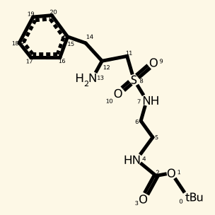 CC(C)(C)OC(=O)NCCNS(=O)(=O)CC(N)Cc1ccccc1